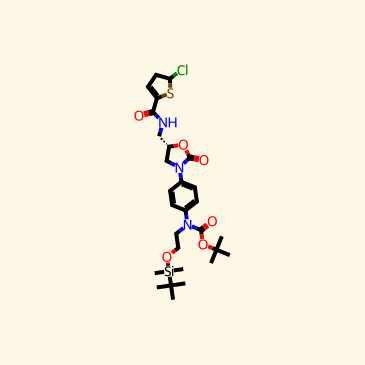 CC(C)(C)OC(=O)N(CCO[Si](C)(C)C(C)(C)C)c1ccc(N2C[C@H](CNC(=O)C3=CCC(Cl)S3)OC2=O)cc1